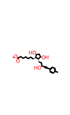 COC(=O)CCCCCC[C@@H]1[C@@H](CCC(O)C#Cc2ccc(C)cc2)[C@H](O)C[C@@H]1O